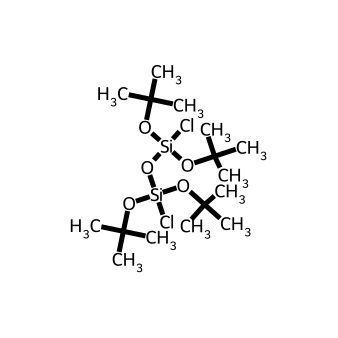 CC(C)(C)O[Si](Cl)(OC(C)(C)C)O[Si](Cl)(OC(C)(C)C)OC(C)(C)C